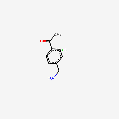 COC(=O)c1ccc(CN)cc1.Cl